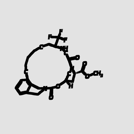 COC(=O)[C@@H]1C[C@@H]2CN1C(=O)CNC(C(F)(F)F)CCCCCCc1cccc3c1CN(C3)C(=O)O2